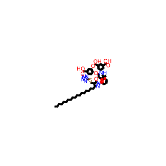 CCCCCCCCCCCCCCCCCCc1nn(-c2ccccc2)c(OC(C(=O)Nc2cc(C(=O)O)cc(C(=O)O)c2)C(=O)C(C)(C)C)c1CSc1nnnn1-c1ccccc1C(=O)O